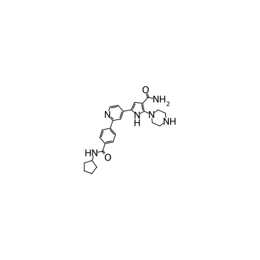 NC(=O)c1cc(-c2ccnc(-c3ccc(C(=O)NC4CCCC4)cc3)c2)[nH]c1N1CCNCC1